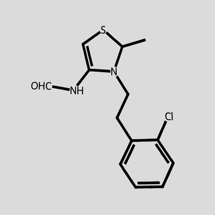 CC1SC=C(NC=O)N1CCc1ccccc1Cl